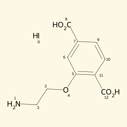 I.NCCOc1cc(C(=O)O)ccc1C(=O)O